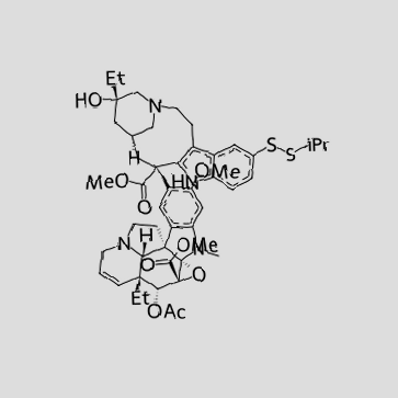 CC[C@]1(O)C[C@H]2CN(CCc3c([nH]c4ccc(SSC(C)C)cc34)[C@@](C(=O)OC)(c3cc4c(cc3OC)N(C)[C@@]35O[C@]3(C(=O)OC)[C@H](OC(C)=O)[C@]3(CC)C=CCN6CC[C@]45[C@@H]63)C2)C1